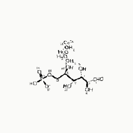 O.O.O.O.O=C[C@H](O)[C@@H](O)[C@H](O)[C@H](O)COP(=O)([O-])[O-].[Ca+2]